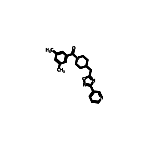 Cc1cc(C)cc(C(=O)N2CCC(Cc3nc(-c4cccnc4)no3)CC2)c1